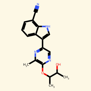 Cc1nc(-c2c[nH]c3c(C#N)cccc23)cnc1OC(C)C(C)O